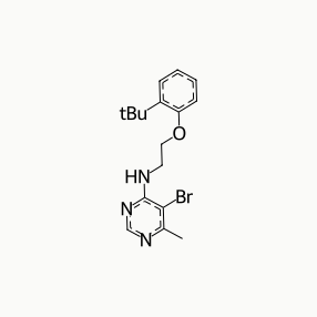 Cc1ncnc(NCCOc2ccccc2C(C)(C)C)c1Br